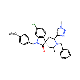 COc1ccc(CN2C(=O)[C@@]3(C[C@H](C)N(Cc4ccccc4)[C@H](c4cn(C)nn4)C3)c3ccc(Cl)cc32)cc1